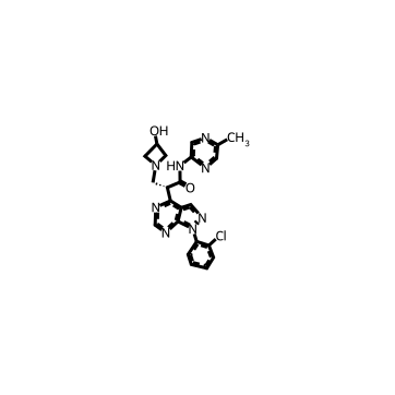 Cc1cnc(NC(=O)[C@@H](CN2CC(O)C2)c2ncnc3c2cnn3-c2ccccc2Cl)cn1